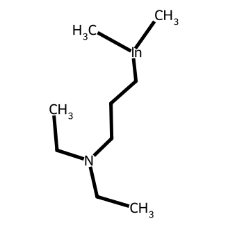 CCN(CC)CC[CH2][In]([CH3])[CH3]